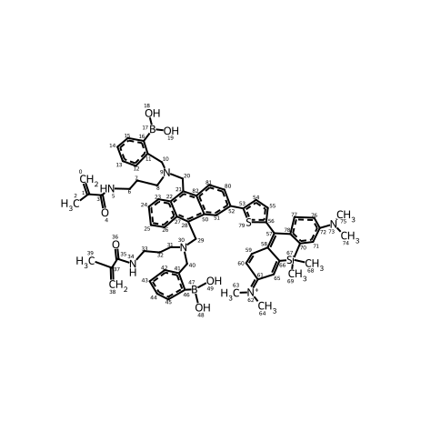 C=C(C)C(=O)NCCCN(Cc1ccccc1B(O)O)Cc1c2ccccc2c(CN(CCCNC(=O)C(=C)C)Cc2ccccc2B(O)O)c2cc(-c3ccc(C4=C5C=CC(=[N+](C)C)C=C5[Si](C)(C)c5cc(N(C)C)ccc54)s3)ccc12